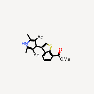 COC(=O)c1cccc2c(C3C(C(C)=O)=C(C)NC(C)=C3C(C)=O)csc12